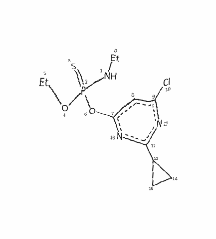 CCNP(=S)(OCC)Oc1cc(Cl)nc(C2CC2)n1